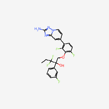 CCC(F)(F)C(O)(COc1c(F)ccc(-c2ccn3nc(N)nc3c2)c1F)c1cccc(F)c1